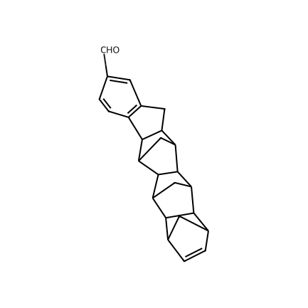 O=Cc1ccc2c(c1)CC1C3CC(C21)C1C2CC(C4C5C=CC(C5)C24)C31